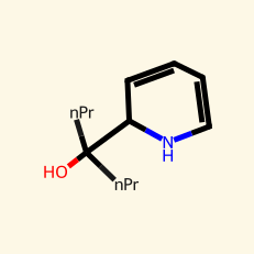 CCCC(O)(CCC)C1C=CC=CN1